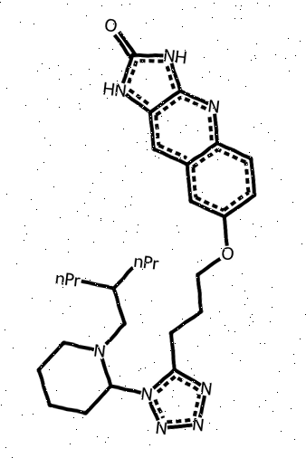 CCCC(CCC)CN1CCCCC1n1nnnc1CCCOc1ccc2nc3[nH]c(=O)[nH]c3cc2c1